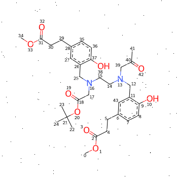 COC(=O)CCc1ccc(O)c(CN(CCN(CC(=O)OC(C)(C)C)Cc2cc(CCC(=O)OC)ccc2O)CC(C)=O)c1